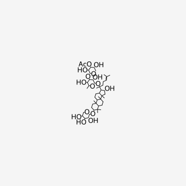 CC(=O)OC1C(O)COC(OC2C(O)C(C)OC(OC(C)(CCC=C(C)C)C3C(O)CC4(C)C3CCC3C5(C)CCC(OC6OCC(O)C(O)C6O)C(C)(C)C5CCC34C)C2O)C1O